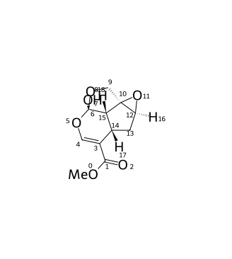 COC(=O)C1=CO[C@]2(O)OC[C@]34O[C@H]3C[C@H]1[C@H]24